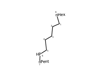 CCCCCCCCCCCPCCCCC